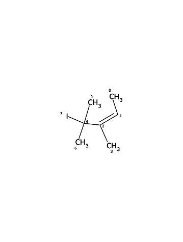 C/C=C(/C)C(C)(C)I